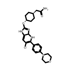 NC(=O)C[C@H]1CC[C@H](OC2=NC3NC(c4ccc(N5CCOCC5)cc4)=C(Cl)C=C3N2)CC1